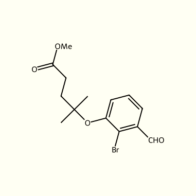 COC(=O)CCC(C)(C)Oc1cccc(C=O)c1Br